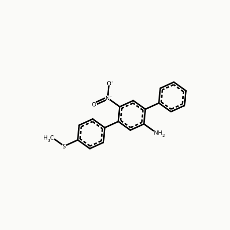 CSc1ccc(-c2cc(N)c(-c3ccccc3)cc2[N+](=O)[O-])cc1